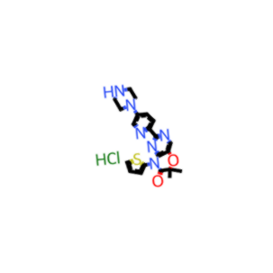 CC1(C)Oc2cnc(-c3ccc(N4CCNCC4)cn3)nc2N(c2cccs2)C1=O.Cl